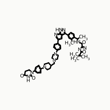 Cc1cc(-c2n[nH]c3ncc(-c4ccc(N5CCN(CC6CCN(c7ccc(N8CCC(=O)NC8=O)cc7)CC6)CC5)cc4)cc23)ccc1C(C)NC(=O)c1noc(C(C)(C)C)n1